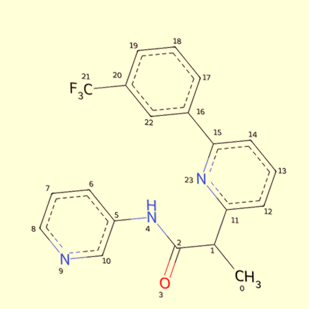 CC(C(=O)Nc1cccnc1)c1cccc(-c2cccc(C(F)(F)F)c2)n1